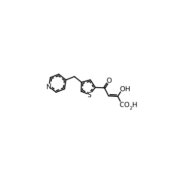 O=C(O)C(O)=CC(=O)c1cc(Cc2ccncc2)cs1